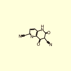 N#Cc1ccc2c(n1)C(=O)C(C#N)C(=O)N2